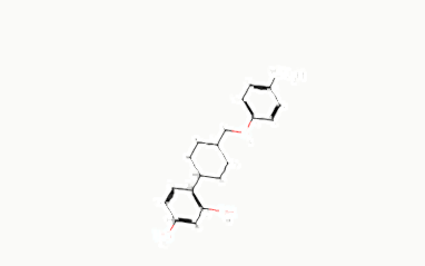 O=C(O)c1ccc(OCC2CCC(c3ccc(O)cc3O)CC2)cc1